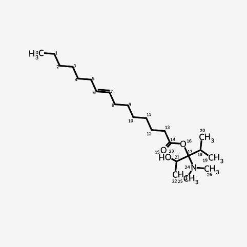 CCCCCCC=CCCCCCCC(=O)OC(C(C)C)(C(C)O)N(C)C